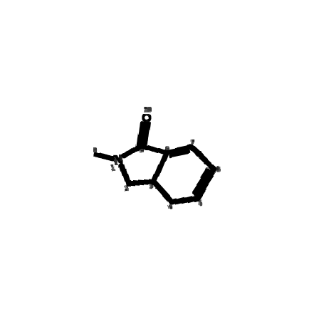 CN1CC2CC=CC=C2C1=O